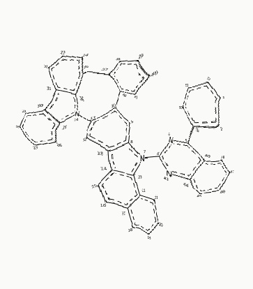 c1ccc(-c2nc(-n3c4cc5c(cc4c4ccc6ccccc6c43)-n3c4ccccc4c4cccc(c43)-c3ccccc3-5)nc3ccccc23)cc1